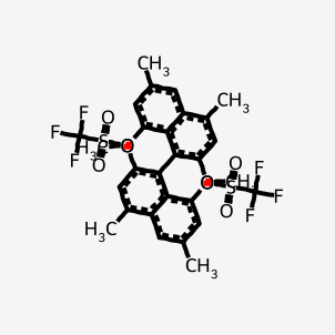 COc1cc(C)c2cc(C)cc(OS(=O)(=O)C(F)(F)F)c2c1-c1c(OC)cc(C)c2cc(C)cc(OS(=O)(=O)C(F)(F)F)c12